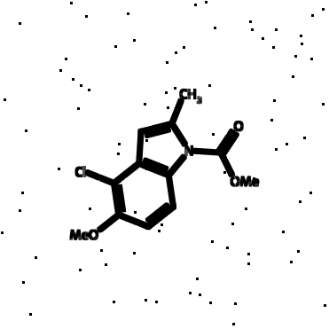 COC(=O)n1c(C)cc2c(Cl)c(OC)ccc21